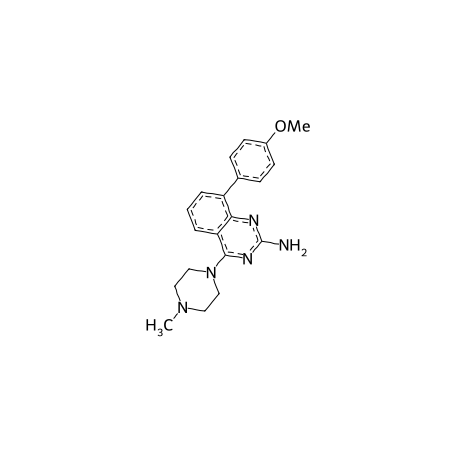 COc1ccc(-c2cccc3c(N4CCN(C)CC4)nc(N)nc23)cc1